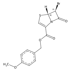 COc1ccc(COC(=O)C2=CS[C@@H]3[C@@H](Br)C(=O)N23)cc1